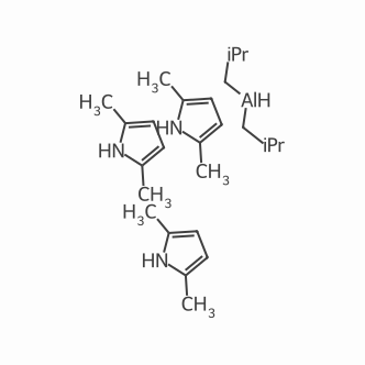 CC(C)[CH2][AlH][CH2]C(C)C.Cc1ccc(C)[nH]1.Cc1ccc(C)[nH]1.Cc1ccc(C)[nH]1